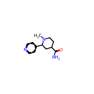 CN1CCC(C(N)=O)CC1c1ccncc1